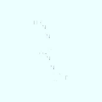 CN1CCN(CCOC(=O)N2CCN(c3cccc(F)c3)CC2)CC1